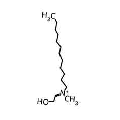 CCCCCCCCCCCC[N+](C)=CCO